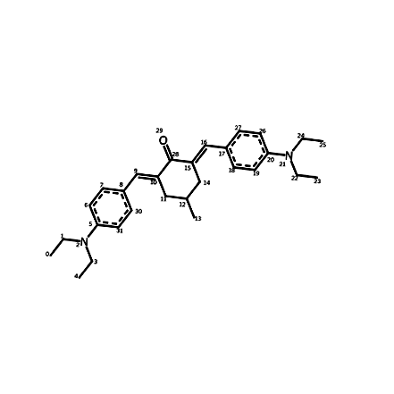 CCN(CC)c1ccc(C=C2CC(C)CC(=Cc3ccc(N(CC)CC)cc3)C2=O)cc1